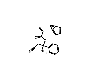 C=CC(=O)OC(N)(CC#N)c1ccccc1.c1cc2cc-2c1